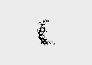 C[SiH2]OC(C)(c1ccc2c(n1)N1[C@H](C2)CN(C(=O)OC(C)(C)C)C[C@H]1C)C(C)(C)C(C)C